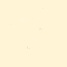 C=C(/C=C\C)/C(=C\NCC)n1ccc2c(C)cccc21